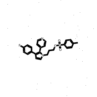 Cc1ccc(S(=O)(=O)OCCCn2ccc(-c3ccc(F)cc3)c2-c2ccncc2)cc1